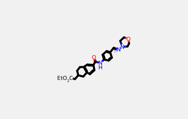 CCOC(=O)CC1CCc2cc(C(=O)Nc3ccc(/C=N/N4CCOCC4)cc3)ccc2C1